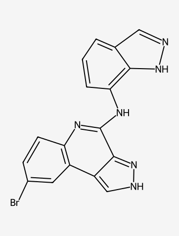 Brc1ccc2nc(Nc3cccc4cn[nH]c34)c3n[nH]cc3c2c1